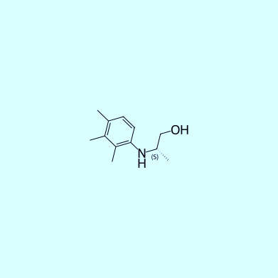 Cc1ccc(N[C@@H](C)CO)c(C)c1C